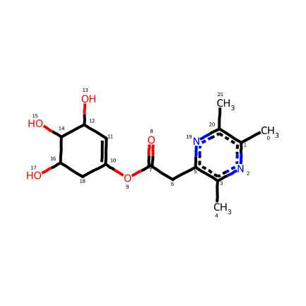 Cc1nc(C)c(CC(=O)OC2=CC(O)C(O)C(O)C2)nc1C